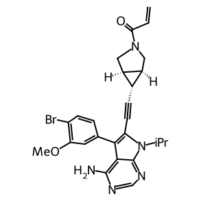 C=CC(=O)N1C[C@@H]2[C@@H](C#Cc3c(-c4ccc(Br)c(OC)c4)c4c(N)ncnc4n3C(C)C)[C@@H]2C1